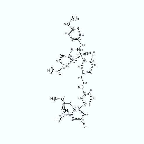 COC(=O)Cc1c(-c2ccnc(OCCc3ccc(F)c(S(=O)(=O)N(Cc4ccc(OC)cc4)Cc4ccc(OC)cc4)c3)c2)cc(F)cc1C(C)C